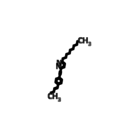 CCCC=Cc1ccc(C#Cc2ccc(CCCCCCCCCC)nn2)cc1